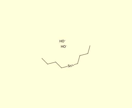 CCC[CH2][Sn+2][CH2]CCC.[OH-].[OH-]